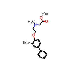 CN(CCOc1ccc(-c2ccccc2)cc1C(C)(C)C)CC(=O)OC(C)(C)C